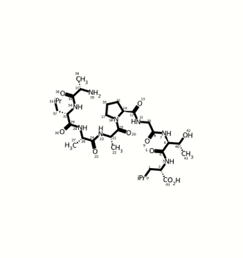 CC(C)C[C@H](NC(=O)[C@@H](NC(=O)CNC(=O)[C@@H]1CCCN1C(=O)[C@H](C)NC(=O)[C@H](C)NC(=O)[C@H](CC(C)C)NC(=O)[C@H](C)N)[C@@H](C)O)C(=O)O